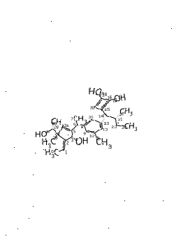 C/C=C1/C(O)C(C(C)c2cc(C)cc([C@H](C3=C(O)C(O)=C3)[C@H](C)CC)c2)=CC1(C)[C@@H](C)O